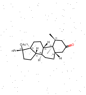 CCC[C@]1(OC(C)=O)CC[C@H]2[C@@H]3CC[C@H]4CC(=O)C[C@H](C)[C@]4(C)[C@H]3CC[C@@]21C